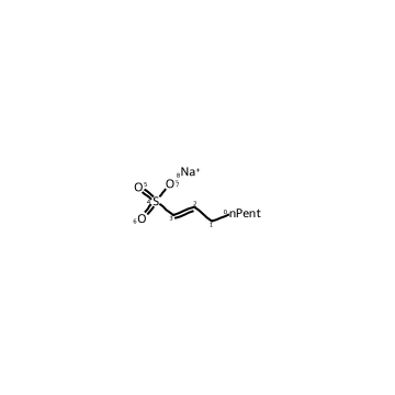 CCCCCCC=CS(=O)(=O)[O-].[Na+]